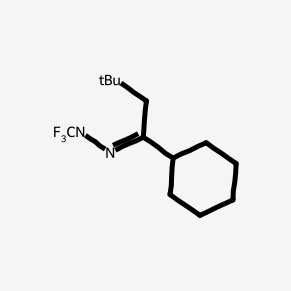 CC(C)(C)CC(=NNC(F)(F)F)C1CCCCC1